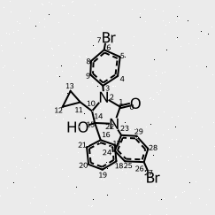 O=C1N(c2ccc(Br)cc2)C(C2CC2)C(O)(c2ccccc2)N1c1ccc(Br)cc1